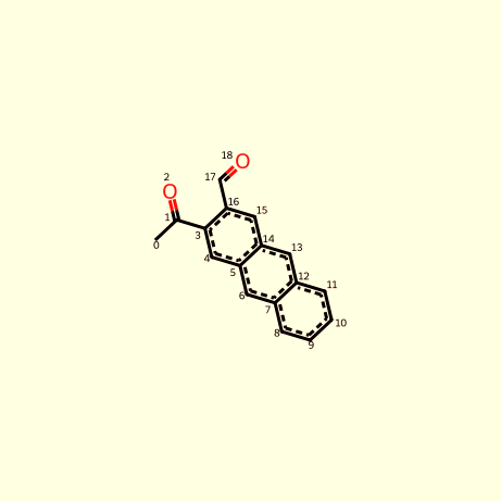 CC(=O)c1cc2cc3ccccc3cc2cc1C=O